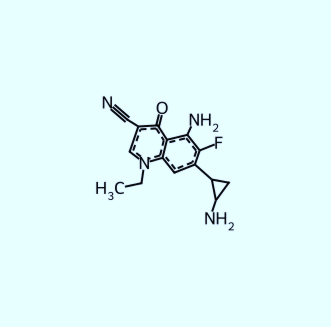 CCn1cc(C#N)c(=O)c2c(N)c(F)c(C3CC3N)cc21